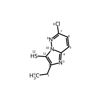 CCc1nc2ccc(Cl)nn2c1S